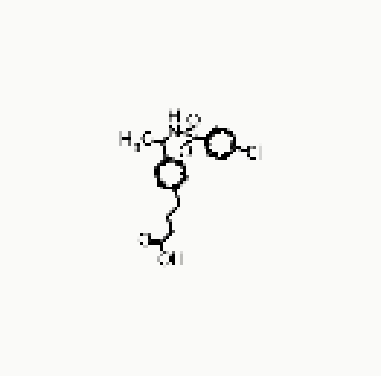 CC(NS(=O)(=O)c1ccc(Cl)cc1)c1ccc(CCCC(=O)O)cc1